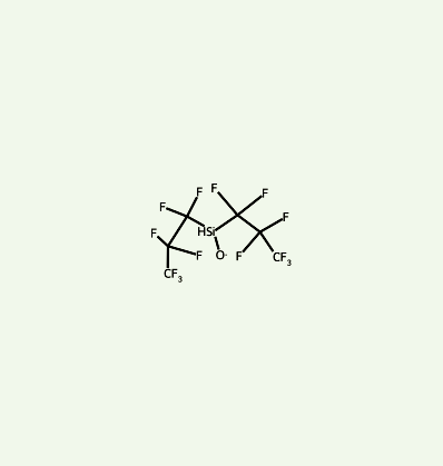 [O][SiH](C(F)(F)C(F)(F)C(F)(F)F)C(F)(F)C(F)(F)C(F)(F)F